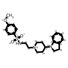 COc1ccc(S(=O)(=O)NCCN2CCC(N3CCc4ccccc43)CC2)cc1